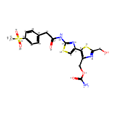 NC(=O)OCc1nc(CO)sc1-c1csc(NC(=O)Cc2ccc(S(=O)(=O)C(F)(F)F)cc2)n1